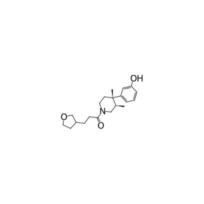 C[C@H]1CN(C(=O)CCC2CCOC2)CC[C@]1(C)c1cccc(O)c1